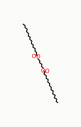 CCCCCCCCCCCCCCCCC(=O)OCCCCCCOC(=O)CCCCCCCCCCCCCCCC